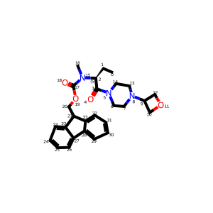 CC[C@@H](C(=O)N1CCN(C2COC2)CC1)N(C)C(=O)OCC1c2ccccc2-c2ccccc21